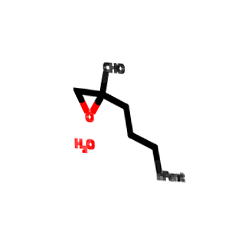 CCCCCCCCC1(C=O)CO1.O